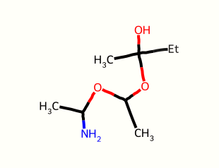 CCC(C)(O)OC(C)OC(C)N